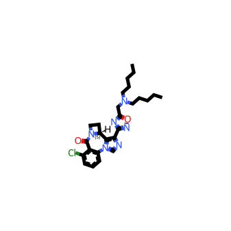 CCCCCN(CCCCC)Cc1nc(-c2ncn3c2[C@@H]2CCN2C(=O)c2c(Cl)cccc2-3)no1